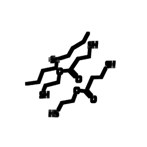 CCC[CH2][Sn][CH2]CCC.O=C(CCS)OCCS.O=C(CCS)OCCS